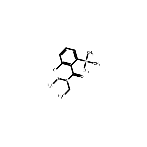 CCN(SC)C(=O)c1c(Cl)cccc1[Si](C)(C)C